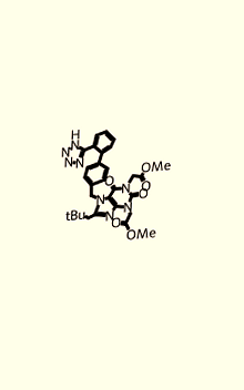 COC(=O)Cn1c(=O)c2c(nc(CC(C)(C)C)n2Cc2ccc(-c3ccccc3-c3nnn[nH]3)cc2)n(CC(=O)OC)c1=O